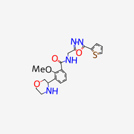 COc1c(C(=O)NCc2nnc(-c3cccs3)o2)cccc1C1COCCN1